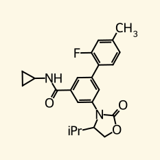 Cc1ccc(-c2cc(C(=O)NC3CC3)cc(N3C(=O)OCC3C(C)C)c2)c(F)c1